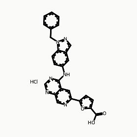 Cl.O=C(O)c1ccc(-c2cc3c(Nc4ccc5c(cnn5Cc5ccccc5)c4)ncnc3cn2)o1